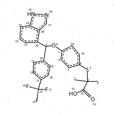 CC(C)(Sc1ccc(OC(c2ccc(C(F)(F)F)cc2)c2cccc3[nH]ncc23)cc1)C(=O)O